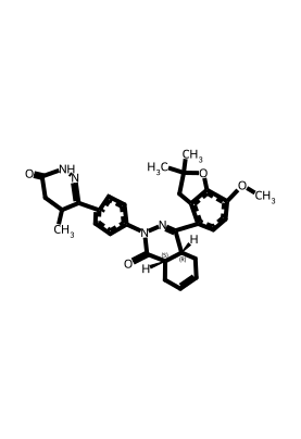 COc1ccc(C2=NN(c3ccc(C4=NNC(=O)CC4C)cc3)C(=O)[C@H]3CC=CC[C@@H]23)c2c1OC(C)(C)C2